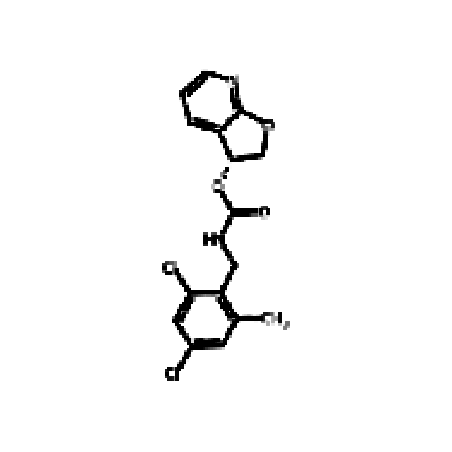 Cc1cc(Cl)cc(Cl)c1CNC(=O)O[C@H]1COc2ncccc21